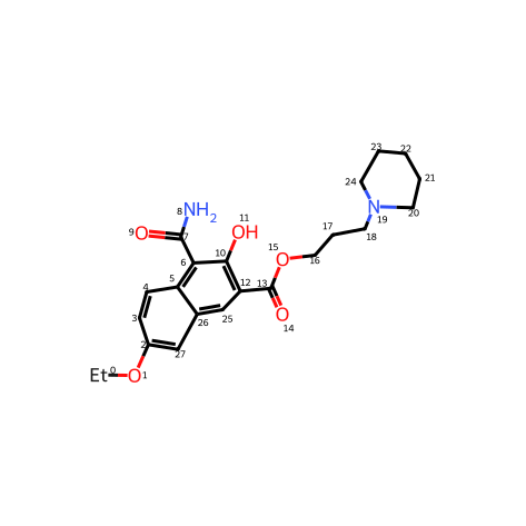 CCOc1ccc2c(C(N)=O)c(O)c(C(=O)OCCCN3CCCCC3)cc2c1